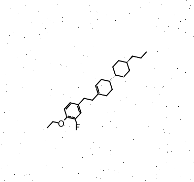 CCC[C@H]1CC[C@H](C2CC=C(CCc3ccc(OCC)c(F)c3)CC2)CC1